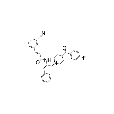 N#Cc1cccc(/C=C/C(=O)N[C@H](Cc2ccccc2)CN2CCC(C(=O)c3ccc(F)cc3)CC2)c1